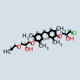 C#CCOC[C@@H](O)COc1c(C)cc(Cc2cc(C)c(OC[C@H](O)CCl)c(C)c2)cc1C